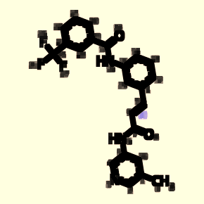 Cc1cncc(NC(=O)/C=C/c2cccc(NC(=O)c3cccc(C(F)(F)F)c3)c2)c1